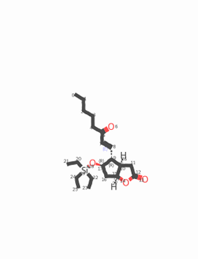 CCCCCC(=O)/C=C/[C@@H]1[C@H]2CC(=O)O[C@H]2C[C@H]1O[Si](CC)(CC)CC